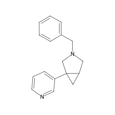 c1ccc(CN2CC3CC3(c3cccnc3)C2)cc1